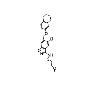 COCCSNc1noc2cc(COc3ccc4c(c3)CCCC4)c(Cl)cc12